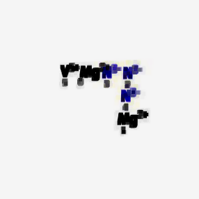 [Mg+2].[Mg+2].[N-3].[N-3].[N-3].[V+5]